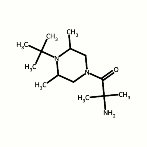 CC1CN(C(=O)C(C)(C)N)CC(C)N1C(C)(C)C